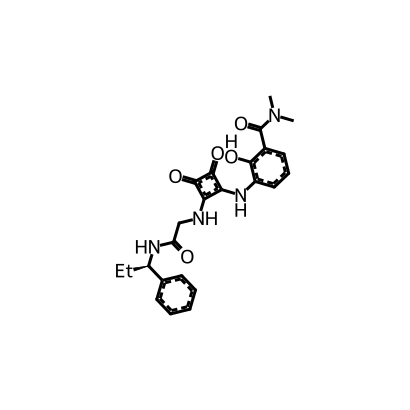 CC[C@@H](NC(=O)CNc1c(Nc2cccc(C(=O)N(C)C)c2O)c(=O)c1=O)c1ccccc1